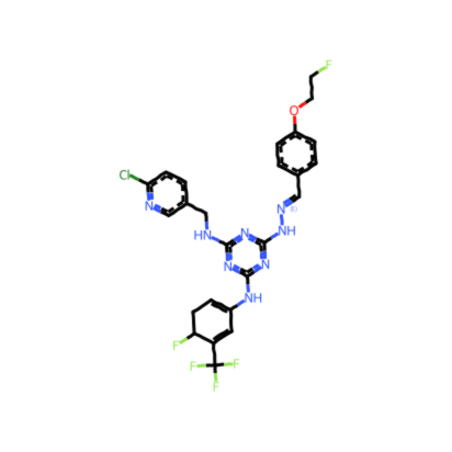 FCCOc1ccc(/C=N/Nc2nc(NCc3ccc(Cl)nc3)nc(NC3=CCC(F)C(C(F)(F)F)=C3)n2)cc1